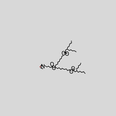 CCCCCC(CCCCC)CC(=O)OCCCCCCCCC(CCCCCCCCOC(=O)CC(CCCCC)CCCCC)OC(=O)CCCCN1CCCC1